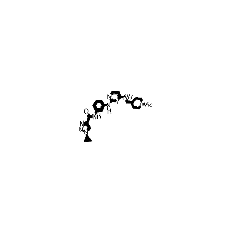 CC(=O)N1CCC(CNc2ccnc(Nc3cccc(NC(=O)c4cn(C5CC5)nn4)c3)n2)CC1